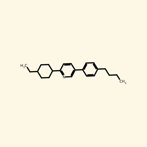 CCCCc1ccc(-c2ccc(C3CCC(CC)CC3)nc2)cc1